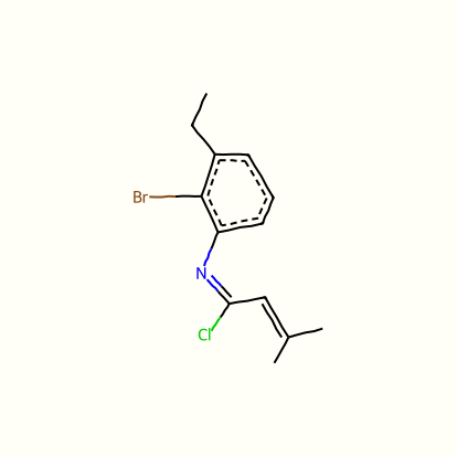 CCc1cccc(/N=C(/Cl)C=C(C)C)c1Br